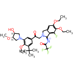 CCOc1cc2c(c(F)c1OCC)/C(=N/C(=O)C(F)(F)F)N(CC(=O)c1cc(N3C[C@H](OC)[C@@H](O)C3)c(OC)c(C(C)(C)C)c1)C2